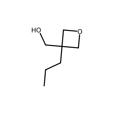 CCCC1(CO)COC1